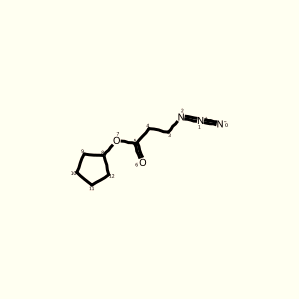 [N-]=[N+]=NCCC(=O)OC1CCCC1